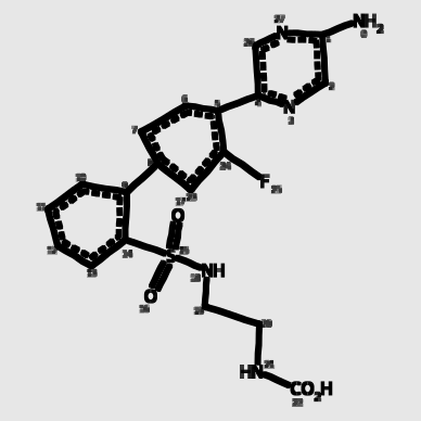 Nc1cnc(-c2ccc(-c3ccccc3S(=O)(=O)NCCNC(=O)O)cc2F)cn1